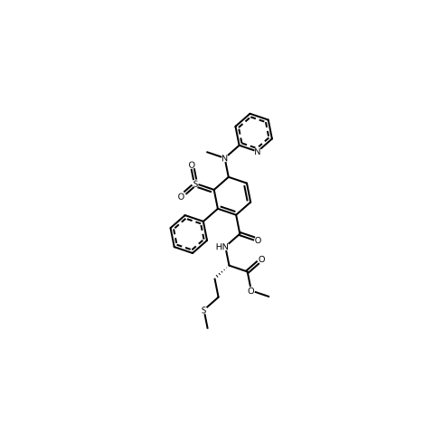 COC(=O)[C@H](CCSC)NC(=O)C1=C(c2ccccc2)C(=S(=O)=O)C(N(C)c2ccccn2)C=C1